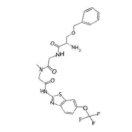 CN(CC(=O)Nc1nc2ccc(OC(F)(F)F)cc2s1)C(=O)CNC(=O)C(N)COCc1ccccc1